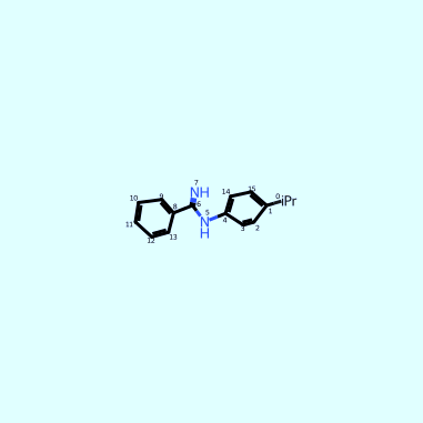 CC(C)c1ccc(NC(=N)c2ccccc2)cc1